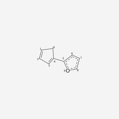 [CH]1C=CC=C1c1ccco1